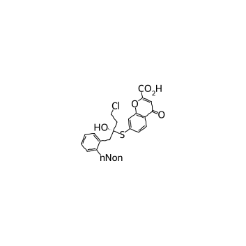 CCCCCCCCCc1ccccc1C[C@@](O)(CCCl)Sc1ccc2c(=O)cc(C(=O)O)oc2c1